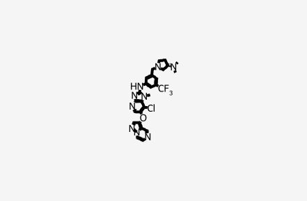 CN(C)[C@@H]1CCN(Cc2cc(Nc3nc4ncc(Oc5cnn6ccncc56)c(Cl)c4n3C)cc(C(F)(F)F)c2)C1